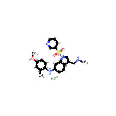 CNCc1cn(S(=O)(=O)c2cccnc2)c2cc(Nc3ccc(OC)cc3C)ccc12.Cl